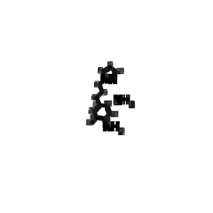 Cc1cc(CCCn2cccn2)ccc1N.N